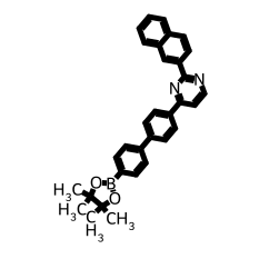 CC1(C)OB(c2ccc(-c3ccc(-c4ccnc(-c5ccc6ccccc6c5)n4)cc3)cc2)OC1(C)C